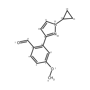 COc1ccc(C=O)c(-c2ccn(C3CC3)n2)c1